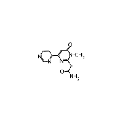 Cn1c([CH]C(N)=O)nc(-c2ccncn2)cc1=O